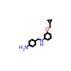 Nc1ccc(CNc2cccc(OCC3CC3)c2)cc1